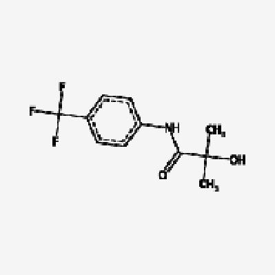 CC(C)(O)C(=O)Nc1ccc(C(F)(F)F)cc1